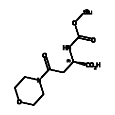 CC(C)(C)OC(=O)N[C@H](CC(=O)N1CCOCC1)C(=O)O